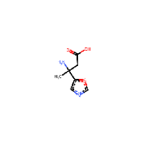 CC(N)(CC(=O)O)c1cnco1